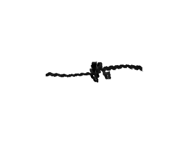 CCCCCCCCCCCCCCC(=CCl)C(=O)O[PH](=O)OC(=O)C(=CCl)CCCCCCCCCCCCCC